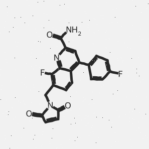 NC(=O)c1cc(-c2ccc(F)cc2)c2ccc(CN3C(=O)C=CC3=O)c(F)c2n1